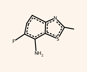 Cc1nc2ccc(F)c(N)c2s1